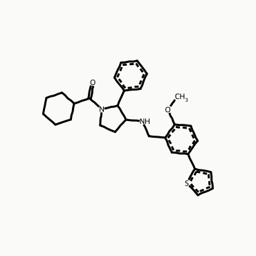 COc1ccc(-c2cccs2)cc1CNC1CCN(C(=O)C2CCCCC2)C1c1ccccc1